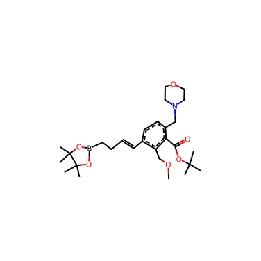 COCc1c(C=CCCB2OC(C)(C)C(C)(C)O2)ccc(CN2CCOCC2)c1C(=O)OC(C)(C)C